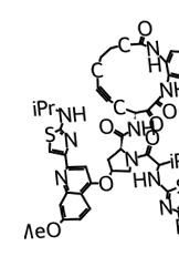 CCc1csc(NC(C(=O)N2C[C@@H](Oc3cc(-c4csc(NC(C)C)n4)nc4cc(OC)ccc34)C[C@H]2C(=O)N[C@@H]2CC#CCCCCC(=O)Nc3ccccc3NC(=O)C2=O)C(C)C)n1